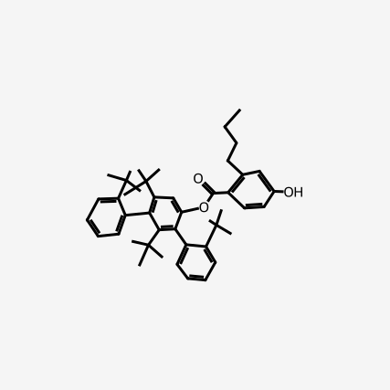 CCCCc1cc(O)ccc1C(=O)Oc1cc(C(C)(C)C)c(-c2ccccc2C(C)(C)C)c(C(C)(C)C)c1-c1ccccc1C(C)(C)C